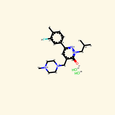 Cc1ccc(-c2cc(CN3CCN(C)CC3)c(=O)n(CC(C)C)n2)cc1F.Cl.Cl